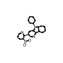 O=[N+]([O-])c1cccnc1-c1cnc2c3ccccc3n(-c3ccccc3)c2c1